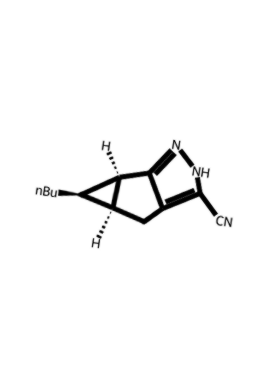 CCCC[C@@H]1[C@@H]2Cc3c(n[nH]c3C#N)[C@H]12